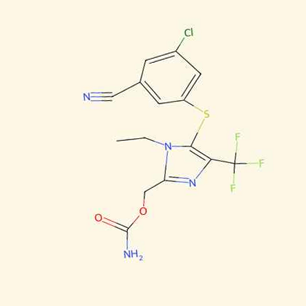 CCn1c(COC(N)=O)nc(C(F)(F)F)c1Sc1cc(Cl)cc(C#N)c1